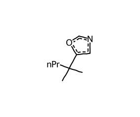 CCCC(C)(C)c1cnco1